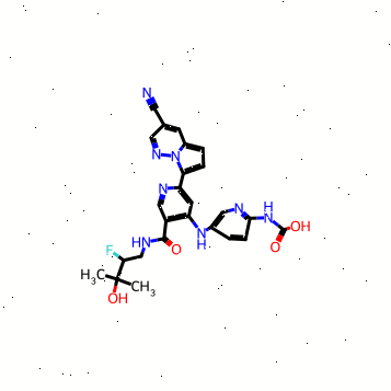 CC(C)(O)C(F)CNC(=O)c1cnc(-c2ccc3cc(C#N)cnn23)cc1Nc1ccc(NC(=O)O)nc1